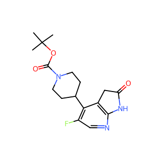 CC(C)(C)OC(=O)N1CCC(c2c(F)cnc3c2CC(=O)N3)CC1